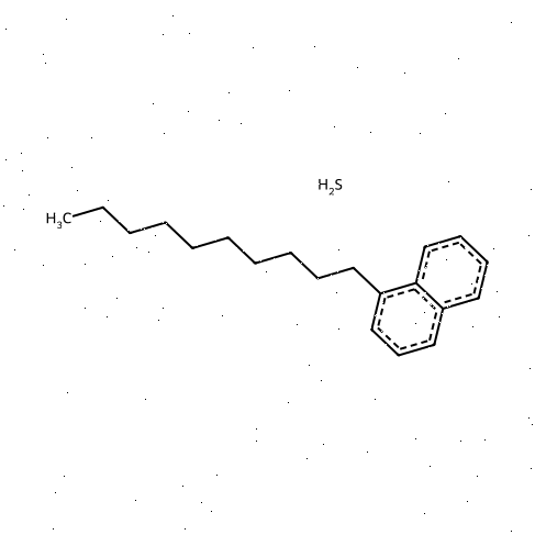 CCCCCCCCCCc1cccc2ccccc12.S